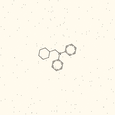 c1ccc(N(CC2CCCCC2)c2ccccc2)cc1